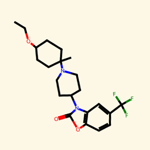 CCOC1CCC(C)(N2CCC(n3c(=O)oc4ccc(C(F)(F)F)cc43)CC2)CC1